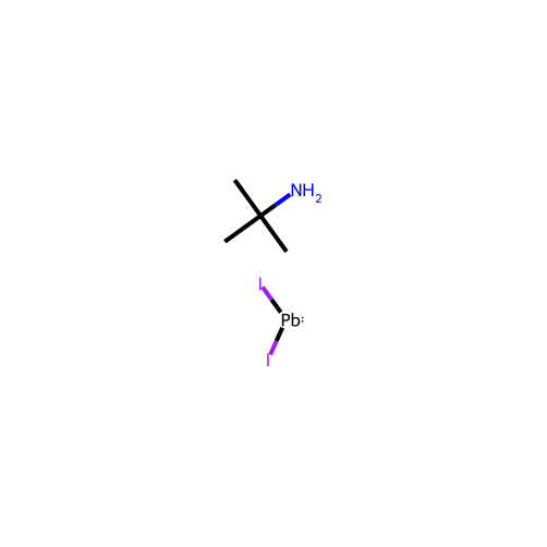 CC(C)(C)N.[I][Pb][I]